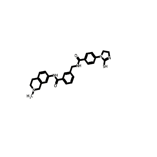 CN1CCc2ccc(NC(=O)c3cccc(CNC(=O)c4ccc(N5CCN=C5S)cc4)c3)cc2C1